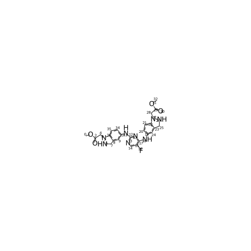 COC(=O)CN1NCc2cc(Nc3ncc(F)c(Nc4ccc5c(c4)CNN5CC(=O)OC)n3)ccc21